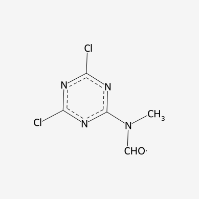 CN([C]=O)c1nc(Cl)nc(Cl)n1